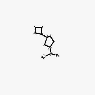 CN(C)[C@@H]1CCN(C2[CH]CC2)C1